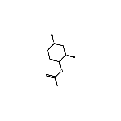 C=C(C)OC1CC[C@@H](C)C[C@H]1C